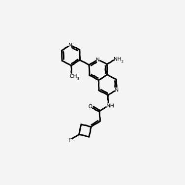 Cc1ccncc1-c1cc2cc(NC(=O)C=C3CC(F)C3)ncc2c(N)n1